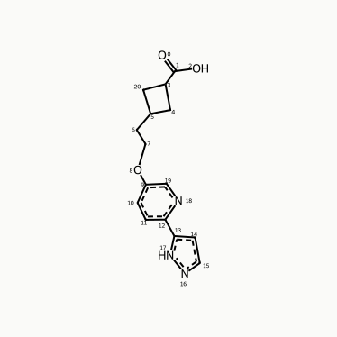 O=C(O)C1CC(CCOc2ccc(-c3ccn[nH]3)nc2)C1